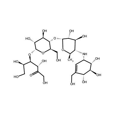 C[C@H]1O[C@H](O[C@H]2[C@H](O)[C@@H](O)[C@@H](O[C@H]([C@H](O)CO)[C@H](O)C(=O)CO)O[C@@H]2CO)[C@H](O)[C@@H](O)[C@@H]1N[C@H]1C=C(CO)[C@@H](O)[C@H](O)[C@H]1O